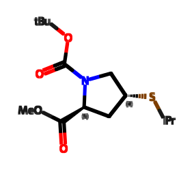 COC(=O)[C@@H]1C[C@@H](SC(C)C)CN1C(=O)OC(C)(C)C